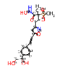 CC(CCc1cc(C#Cc2ccc([C@H](O)CO)cc2)on1)(C(=O)NO)S(C)(=O)=O